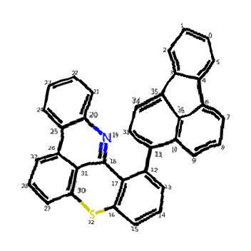 c1ccc2c(c1)-c1cccc3c(-c4cccc5c4-c4nc6ccccc6c6cccc(c46)S5)ccc-2c13